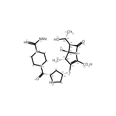 CNC(=N)N1CCN(C(=O)[C@@H]2C[C@H](SC3=C(C(=O)O)N4C(=O)[C@H]([C@@H](C)O)[C@H]4[C@H]3C)CN2)CC1